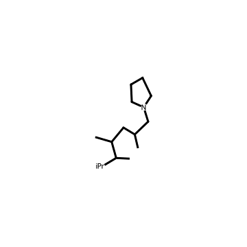 CC(CC(C)C(C)C(C)C)CN1CCCC1